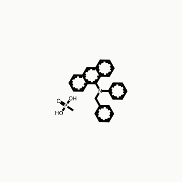 CP(=O)(O)O.c1ccc(CN(c2ccccc2)c2c3ccccc3cc3ccccc23)cc1